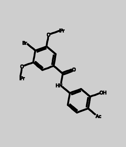 CC(=O)c1ccc(NC(=O)c2cc(OC(C)C)c(Br)c(OC(C)C)c2)cc1O